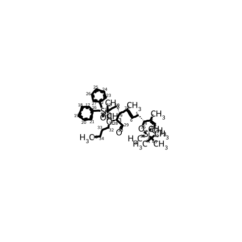 C/C=C(/C)[C@@H](C/C=C(\C)[C@@H](CC(C)(C)[Si](O)(c1ccccc1)c1ccccc1)[C@@H](C=O)OCCCC)O[Si](C)(C)C(C)(C)C